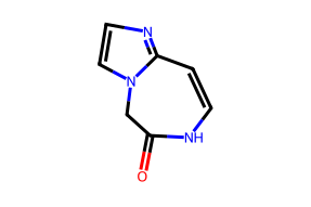 O=C1Cn2ccnc2C=CN1